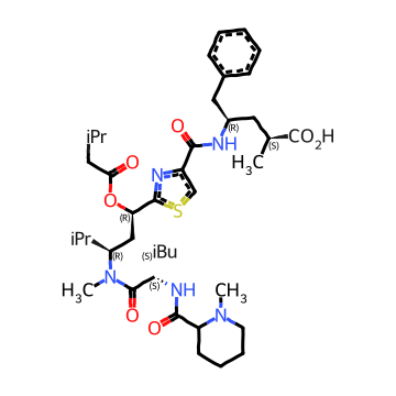 CC[C@H](C)[C@H](NC(=O)C1CCCCN1C)C(=O)N(C)[C@H](C[C@@H](OC(=O)CC(C)C)c1nc(C(=O)N[C@@H](Cc2ccccc2)C[C@H](C)C(=O)O)cs1)C(C)C